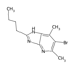 CCCCc1nc2nc(C)c(Br)c(C)c2[nH]1